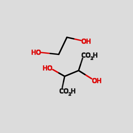 O=C(O)C(O)C(O)C(=O)O.OCCO